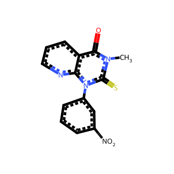 Cn1c(=O)c2cccnc2n(-c2cccc([N+](=O)[O-])c2)c1=S